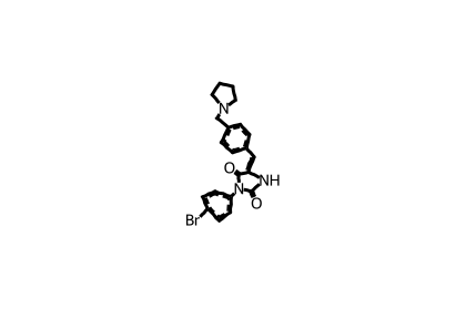 O=C1NC(=Cc2ccc(CN3CCCC3)cc2)C(=O)N1c1ccc(Br)cc1